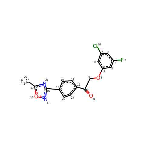 O=C(COc1cc(F)cc(Cl)c1)c1ccc(-c2noc(C(F)(F)F)n2)cc1